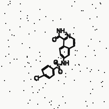 NC(=O)c1nccc2cc(NS(=O)(=O)c3ccc(Cl)cc3)ccc12